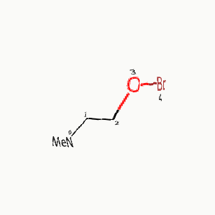 CNCCOBr